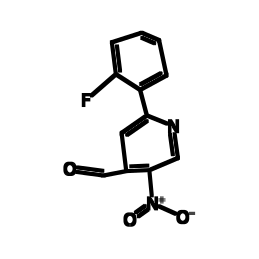 O=Cc1cc(-c2ccccc2F)ncc1[N+](=O)[O-]